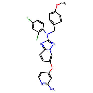 COc1ccc(CN(c2nc3ccc(Oc4ccnc(N)c4)cn3n2)c2ccc(F)cc2F)cc1